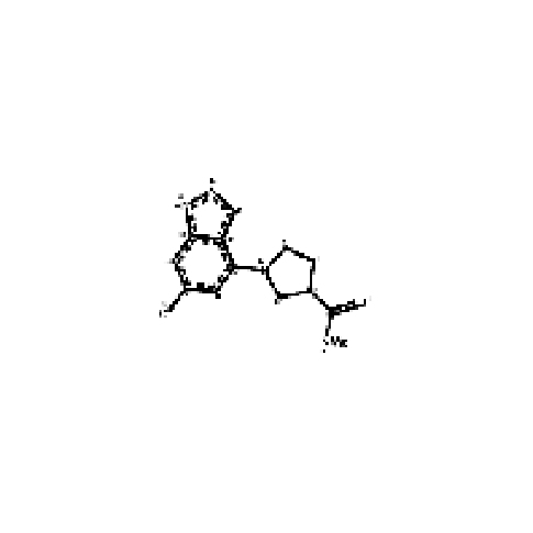 CNC(=O)C1CCN(c2cc(Cl)cc3[nH]ncc23)C1